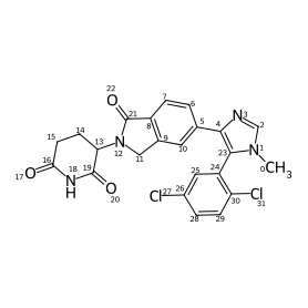 Cn1cnc(-c2ccc3c(c2)CN(C2CCC(=O)NC2=O)C3=O)c1-c1cc(Cl)ccc1Cl